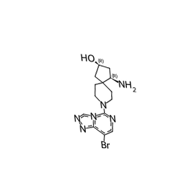 N[C@@H]1C[C@H](O)CC12CCN(c1ncc(Br)c3nncn13)CC2